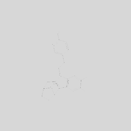 CN1C2CCC1c1c(n(CCc3ccc(C(F)(F)F)nc3)c3cc(F)c(Cl)cc13)C2